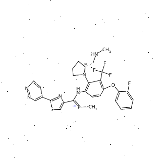 CNC[C@H]1CCCN1c1c(N/C(=P\C)c2csc(-c3ccnnc3)n2)ccc(Oc2ccccc2F)c1C(F)(F)F